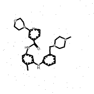 Cc1ccc(NC(=O)c2ccnc(N3CCOCC3)c2)cc1Nc1cccc(CN2CCN(C)CC2)c1